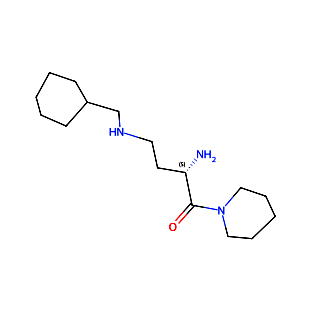 N[C@@H](CCNCC1CCCCC1)C(=O)N1CCCCC1